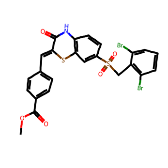 COC(=O)c1ccc(C=C2Sc3cc(S(=O)(=O)Cc4c(Br)cccc4Br)ccc3NC2=O)cc1